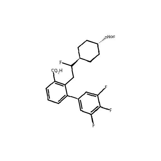 CCCCCCCCC[C@H]1CC[C@H](C(F)Cc2c(C(=O)O)cccc2-c2cc(F)c(F)c(F)c2)CC1